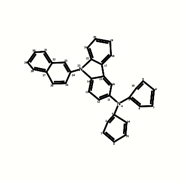 c1ccc(N(c2ccccc2)c2ccc3c(c2)c2ccccc2n3-c2ccc3ccccc3c2)cc1